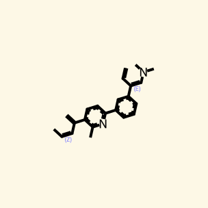 C=C/C(=C\N(C)C)c1cccc(-c2ccc(C(=C)/C=C\C)c(C)n2)c1